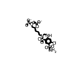 NS(=O)(=O)c1cc2c(cc1Cl)NCN(CCCC(CO[N+](=O)[O-])O[N+](=O)[O-])S2(=O)=O